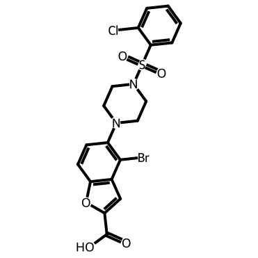 O=C(O)c1cc2c(Br)c(N3CCN(S(=O)(=O)c4ccccc4Cl)CC3)ccc2o1